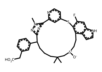 Cn1nc2nc1-c1cc(ccn1)Sc1c(F)cc3[nH]ccc3c1CC[S+]([O-])CC(C)(C)CCCC2c1cccc(CC(=O)O)c1